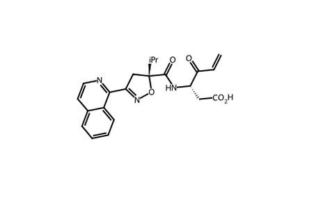 C=CC(=O)[C@H](CC(=O)O)NC(=O)[C@@]1(C(C)C)CC(c2nccc3ccccc23)=NO1